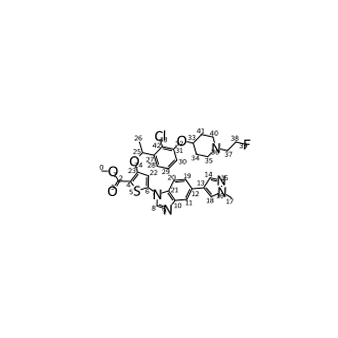 COC(=O)c1sc(-n2cnc3cc(-c4cnn(C)c4)ccc32)cc1OC(C)c1cccc(OC2CCN(CCF)CC2)c1Cl